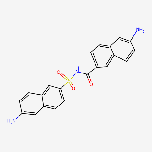 Nc1ccc2cc(C(=O)NS(=O)(=O)c3ccc4cc(N)ccc4c3)ccc2c1